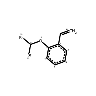 C=Cc1ccccc1OC(Br)Br